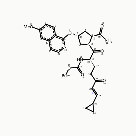 COc1ccc2c(O[C@@H]3C[C@@H](C(N)=O)N(C(=O)[C@H](CCC(=O)/C=C/C4CC4)NC(=O)OC(C)(C)C)C3)nccc2c1